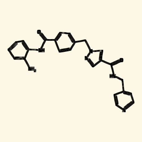 Nc1ccccc1NC(=O)c1ccc(Cn2cc(C(=O)NCc3ccncc3)cn2)cc1